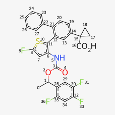 CC(OC(=O)Nc1cc(F)sc1-c1cc(C2(C(=O)O)CC2)ccc1-c1ccccc1)c1cc(F)c(F)cc1F